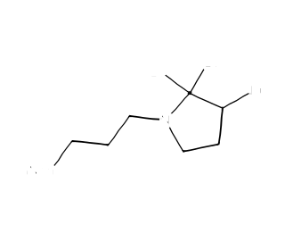 CCCCCCCCCCCCN1CCC(CC)C1(CC)CC